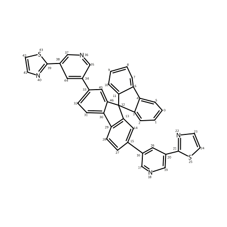 c1ccc2c(c1)-c1ccccc1C21c2cc(-c3cncc(-c4nccs4)c3)ccc2-c2ccc(-c3cncc(-c4nccs4)c3)cc21